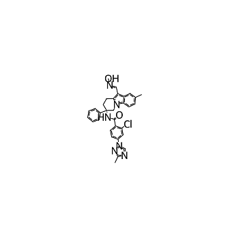 Cc1ccc2c(c1)c(/C=N/O)c1n2C[C@@](NC(=O)c2ccc(-n3cnc(C)n3)cc2Cl)(c2ccccc2)CC1